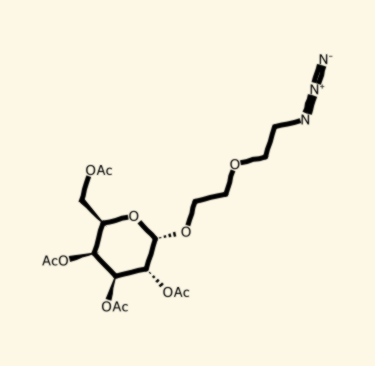 CC(=O)OC[C@H]1O[C@H](OCCOCCN=[N+]=[N-])[C@H](OC(C)=O)[C@@H](OC(C)=O)[C@H]1OC(C)=O